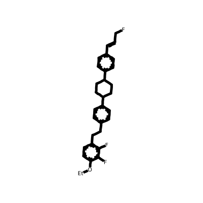 CCOc1ccc(CCc2ccc(C3CCC(c4ccc(/C=C/CF)cc4)CC3)cc2)c(F)c1F